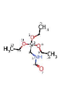 CCO[Si](CN[C]=O)(OCC)OCC